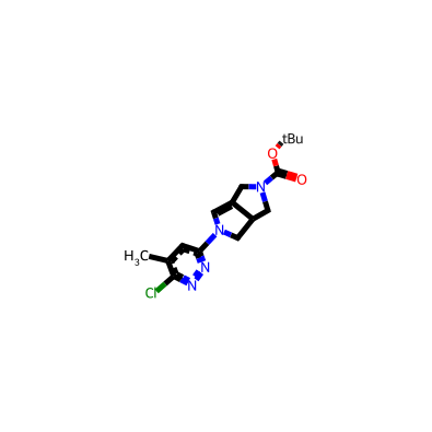 Cc1cc(N2C=C3CN(C(=O)OC(C)(C)C)CC3C2)nnc1Cl